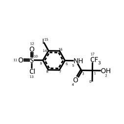 CC(O)(C(=O)Nc1ccc(S(=O)(=O)Cl)c(I)c1)C(F)(F)F